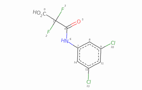 O=C(O)C(F)(F)C(=O)Nc1cc(Cl)cc(Cl)c1